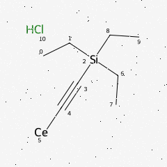 CC[Si](C#[C][Ce])(CC)CC.Cl